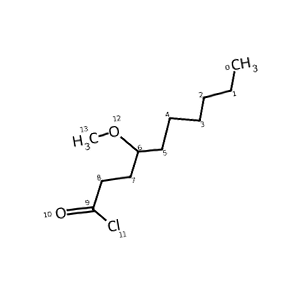 CCCCCCC(CCC(=O)Cl)OC